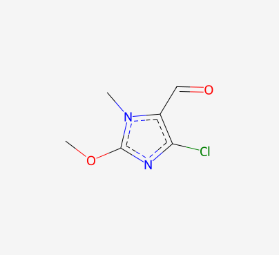 COc1nc(Cl)c(C=O)n1C